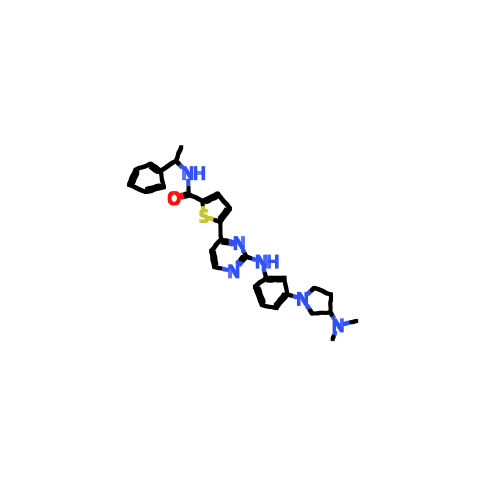 CC(NC(=O)c1ccc(-c2ccnc(Nc3cccc(N4CCC(N(C)C)C4)c3)n2)s1)c1ccccc1